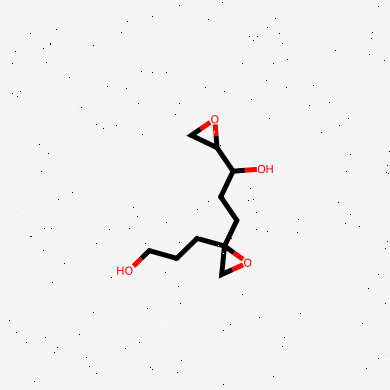 OCCCC1(CCC(O)C2CO2)CO1